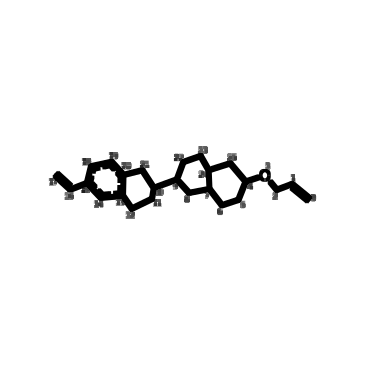 C=CCOC1CCC2CC(C3CCc4cc(C=C)ccc4C3)CCC2C1